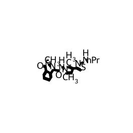 CCCNc1nc(-c2cc(C)n(NC(=O)c3nn(C)c(=O)c4ccccc34)c2C)cs1